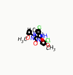 COc1ccc(N2C(=O)c3nc(-c4ccccc4OC)n(C(C)C)c3[C@]23C(=O)Nc2cc(Cl)ccc23)cc1Cl